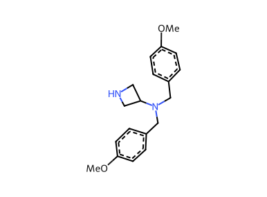 COc1ccc(CN(Cc2ccc(OC)cc2)C2CNC2)cc1